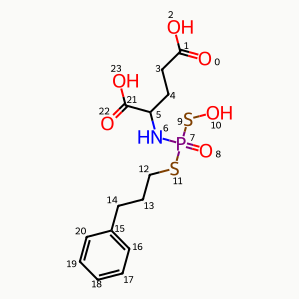 O=C(O)CCC(NP(=O)(SO)SCCCc1ccccc1)C(=O)O